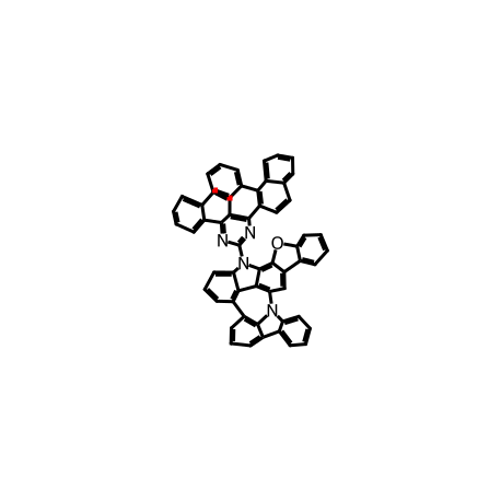 c1ccc(-c2c(-c3nc(-n4c5cccc6c7cccc8c9ccccc9n(c9cc%10c%11ccccc%11oc%10c4c9c65)c78)nc4c3ccc3ccccc34)ccc3ccccc23)cc1